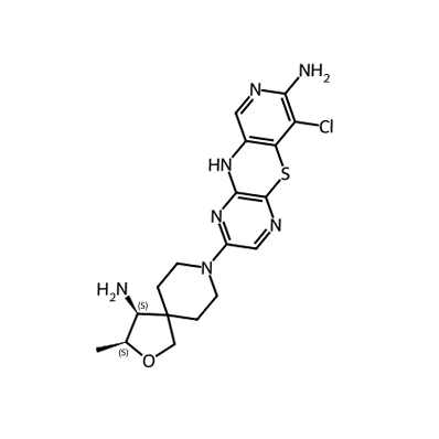 C[C@@H]1OCC2(CCN(c3cnc4c(n3)Nc3cnc(N)c(Cl)c3S4)CC2)[C@@H]1N